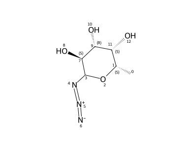 C[C@@H]1OC(N=[N+]=[N-])[C@@H](O)[C@H](O)[C@@H]1O